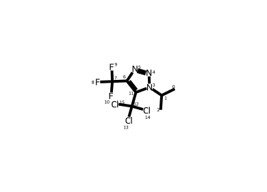 CC(C)n1nnc(C(F)(F)F)c1C(Cl)(Cl)Cl